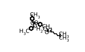 C=CC(=O)OCCCCCC(C)C.Cc1ccc(OP(Oc2ccc(C)cc2)Oc2ccc(C)cc2)cc1